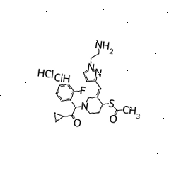 CC(=O)SC1CCN(C(C(=O)C2CC2)c2ccccc2F)C/C1=C\c1ccn(CCN)n1.Cl.Cl